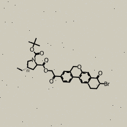 CC[C@H]1CC(C(=O)OCC(=O)c2ccc3c(c2)COc2cc4c(cc2-3)CCC(Br)C4=O)N(C(=O)OC(C)(C)C)C1